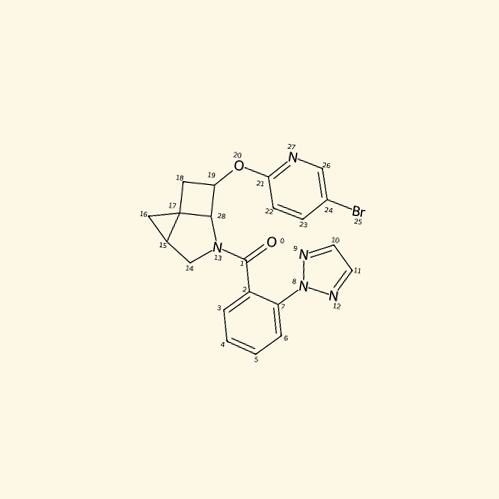 O=C(c1ccccc1-n1nccn1)N1CC2CC23CC(Oc2ccc(Br)cn2)C13